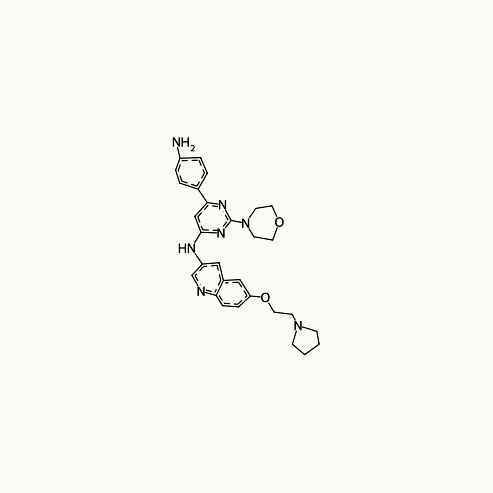 Nc1ccc(-c2cc(Nc3cnc4ccc(OCCN5CCCC5)cc4c3)nc(N3CCOCC3)n2)cc1